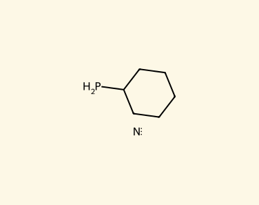 PC1CCCCC1.[N]